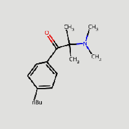 CCCCc1ccc(C(=O)C(C)(C)N(C)C)cc1